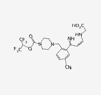 N#Cc1ccc(CN2CCN(C(=O)OC(C(F)(F)F)C(F)(F)F)CC2)c(C(=N)/C=C\NCC(=O)O)c1